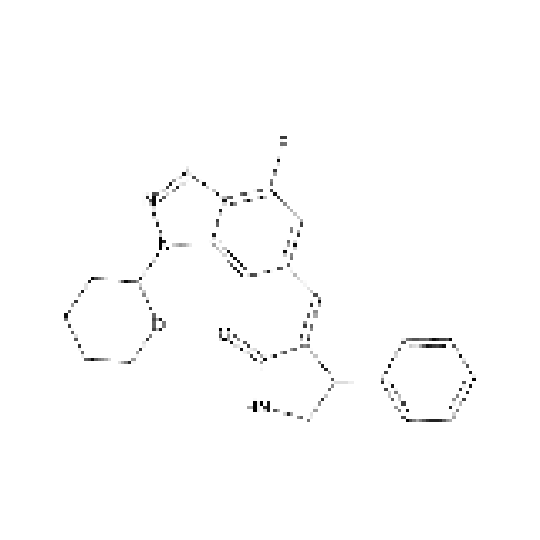 O=C1NCC(c2ccccc2)C1=Cc1cc(F)c2c(I)nn(C3CCCCO3)c2c1